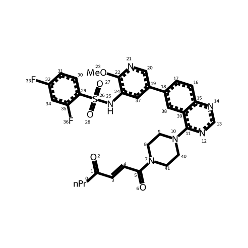 CCCC(=O)/C=C/C(=O)N1CCN(c2ncnc3ccc(-c4cnc(OC)c(NS(=O)(=O)c5ccc(F)cc5F)c4)cc23)CC1